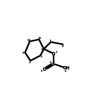 CCC1(OS(=O)O)CCCCC1